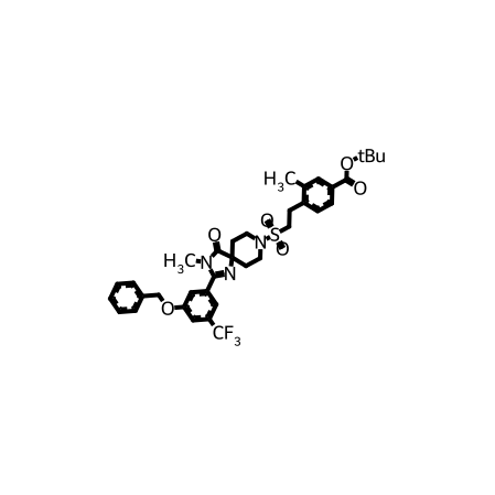 Cc1cc(C(=O)OC(C)(C)C)ccc1CCS(=O)(=O)N1CCC2(CC1)N=C(c1cc(OCc3ccccc3)cc(C(F)(F)F)c1)N(C)C2=O